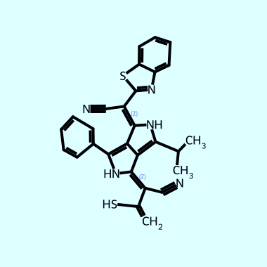 C=C(S)/C(C#N)=c1\[nH]c(-c2ccccc2)c2/c(=C(\C#N)c3nc4ccccc4s3)[nH]c(C(C)C)c12